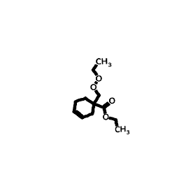 CCOOCC1(C(=O)OCC)CC=CCC1